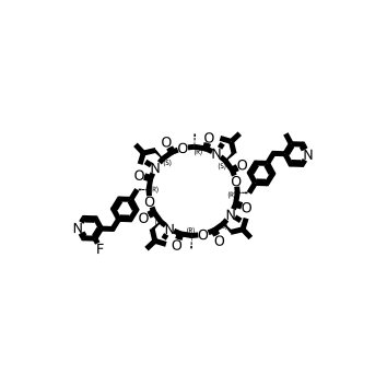 Cc1cnccc1Cc1ccc(C[C@H]2OC(=O)[C@H](CC(C)C)N(C)C(=O)[C@@H](C)OC(=O)[C@H](CC(C)C)N(C)C(=O)[C@@H](Cc3ccc(Cc4ccncc4F)cc3)OC(=O)[C@H](CC(C)C)N(C)C(=O)[C@@H](C)OC(=O)[C@H](CC(C)C)N(C)C2=O)cc1